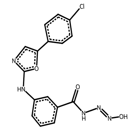 O=C(NN=NO)c1cccc(Nc2ncc(-c3ccc(Cl)cc3)o2)c1